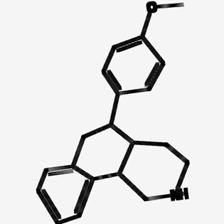 COc1ccc(C2Cc3ccccc3C3CNCCC23)cc1